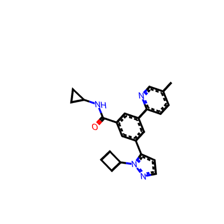 Cc1ccc(-c2cc(C(=O)NC3CC3)cc(-c3ccnn3C3CCC3)c2)nc1